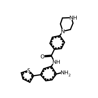 Nc1ccc(-c2cccs2)cc1NC(=O)c1ccc(N2CCNCC2)cc1